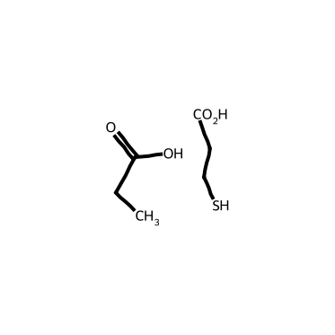 CCC(=O)O.O=C(O)CCS